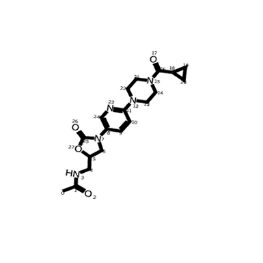 CC(=O)NCC1CN(c2ccc(N3CCN(C(=O)C4CC4)CC3)nc2)C(=O)O1